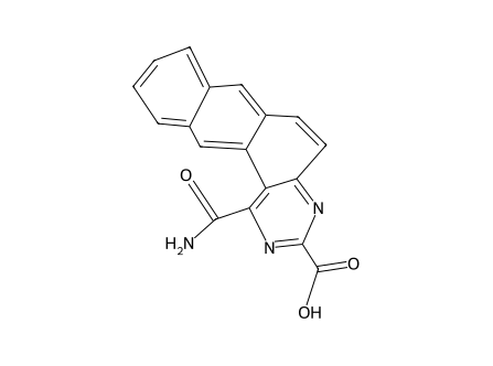 NC(=O)c1nc(C(=O)O)nc2ccc3cc4ccccc4cc3c12